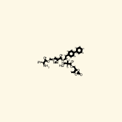 Cc1oc(=O)oc1COC(=O)[C@](C)(CO)C[C@@H](Cc1ccc(-c2ccccc2)cc1)NC(=O)c1cn(COC(=O)[C@@H](N)C(C)C)nn1